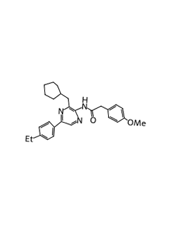 CCc1ccc(-c2cnc(NC(=O)Cc3ccc(OC)cc3)c(CC3CCCCC3)n2)cc1